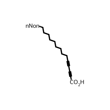 CCCCCCCCCCCCCCCCCCC#CC#CC(=O)O